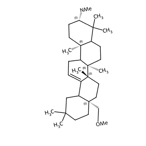 CN[C@H]1CC[C@@]2(C)C(CC[C@]3(C)C2CC=C2C4CC(C)(C)CC[C@]4(COC)CC[C@]23C)C1(C)C